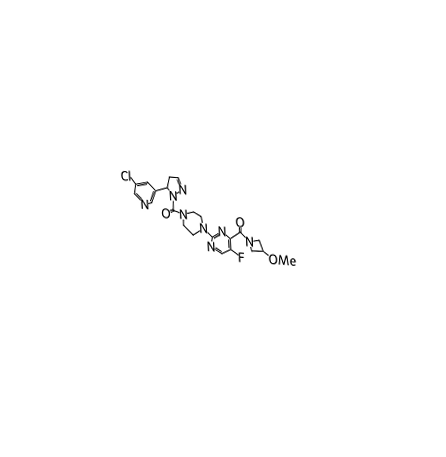 COC1CN(C(=O)c2nc(N3CCN(C(=O)N4N=CCC4c4cncc(Cl)c4)CC3)ncc2F)C1